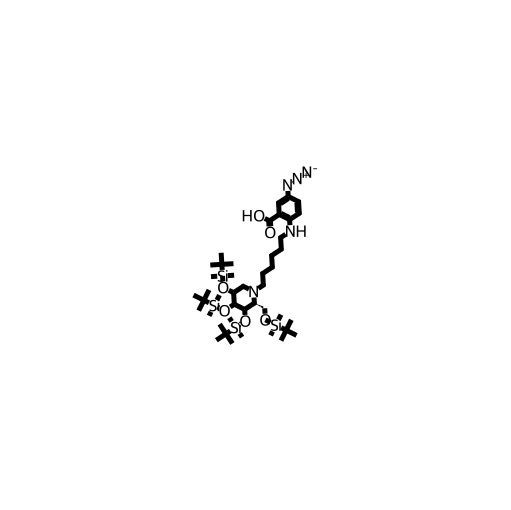 CC(C)(C)[Si](C)(C)OC[C@@H]1C(O[Si](C)(C)C(C)(C)C)C(O[Si](C)(C)C(C)(C)C)C(O[Si](C)(C)C(C)(C)C)CN1CCCCCCNc1ccc(N=[N+]=[N-])cc1C(=O)O